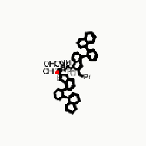 CC(C)CC1=Cc2c(-c3ccccc3-c3cccc4ccccc34)cccc2[CH]1[Hf]([Cl])([Cl])([B](NC=O)NC=O)[CH]1C(CC(C)C)=Cc2c(-c3ccccc3-c3cccc4ccccc34)cccc21